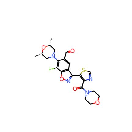 C[C@@H]1CN(c2c(C=O)cc3c(-c4scnc4C(=O)N4CCOCC4)noc3c2F)C[C@H](C)O1